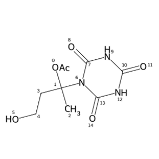 CC(=O)OC(C)(CCO)n1c(=O)[nH]c(=O)[nH]c1=O